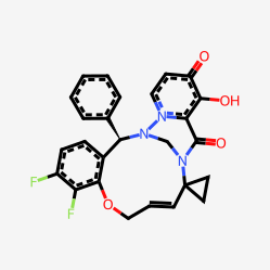 O=C1c2c(O)c(=O)ccn2N2CN1C1(/C=C/COc3c(ccc(F)c3F)[C@H]2c2ccccc2)CC1